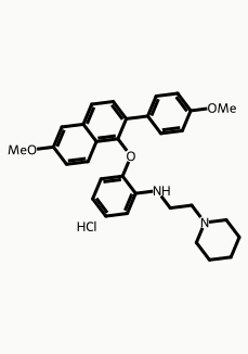 COc1ccc(-c2ccc3cc(OC)ccc3c2Oc2ccccc2NCCN2CCCCC2)cc1.Cl